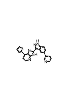 c1cncc(-c2ccc3[nH]nc(-c4nc5c(-c6cccs6)ccnc5[nH]4)c3c2)c1